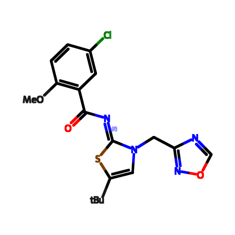 COc1ccc(Cl)cc1C(=O)/N=c1\sc(C(C)(C)C)cn1Cc1ncon1